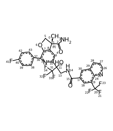 C[C@]1(C(N)=O)COc2c1cc(C(O)(CNC(=O)c1cc(C(F)(F)F)c3ncccc3c1)C(F)(F)F)nc2-c1ccc(F)cc1